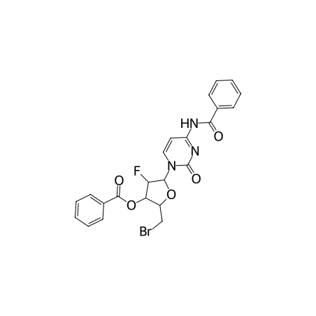 O=C(Nc1ccn(C2OC(CBr)C(OC(=O)c3ccccc3)C2F)c(=O)n1)c1ccccc1